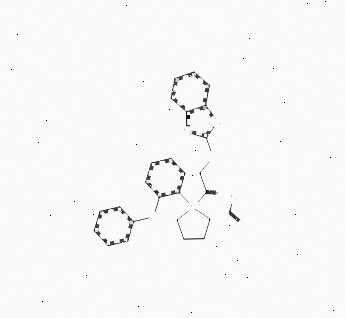 NC(=O)[C@@H]1CCC[N+]1(C(=O)CSc1nc2ccccc2[nH]1)c1ccccc1Oc1ccccc1